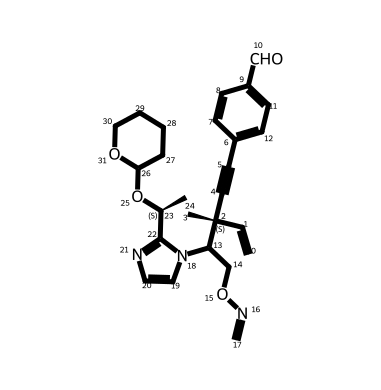 C=C[C@@](C)(C#Cc1ccc(C=O)cc1)C(CON=C)n1ccnc1[C@H](C)OC1CCCCO1